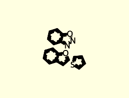 c1ccc2occc2c1.c1ccc2onnc2c1.c1ccsc1